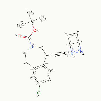 C#CC1CN(C(=O)OC(C)(C)C)CCc2cc(Cl)ccc21.c1cc2nnc1-2